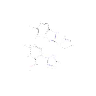 Cc1c(Cl)ccc2[nH]c([C@]3(C)CCCN3)nc12.Cc1ccc(-n2nccn2)c(C=O)c1